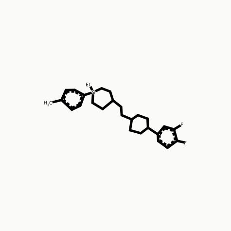 CC[Si]1(c2ccc(C)cc2)CCC(CCC2CCC(c3ccc(F)c(F)c3)CC2)CC1